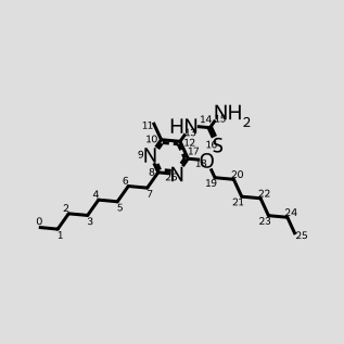 CCCCCCCCc1nc(C)c(NC(N)=S)c(OCCCCCCC)n1